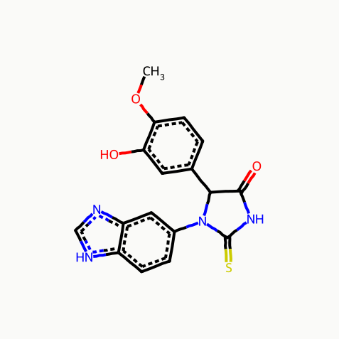 COc1ccc(C2C(=O)NC(=S)N2c2ccc3[nH]cnc3c2)cc1O